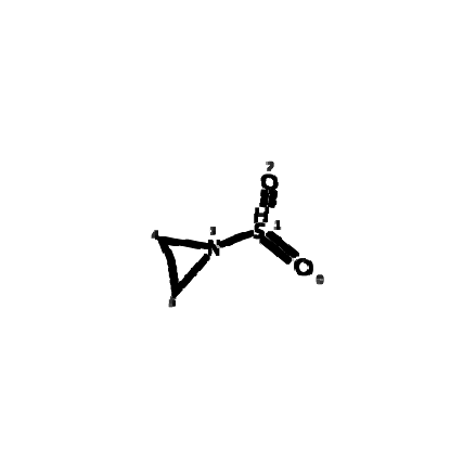 O=[SH](=O)N1CC1